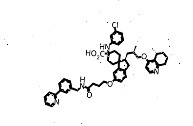 C[C@@H](COc1ccnc2c1[C@H](C)CCC2)C[C@H]1Cc2ccc(OCCCC(=O)NCc3cccc(-c4ccccn4)c3)cc2C12CCC(Nc1cccc(Cl)c1)(C(=O)O)CC2